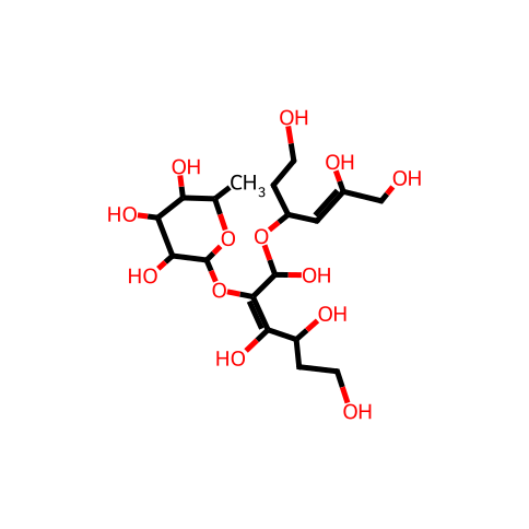 CC1OC(O/C(=C(\O)C(O)CCO)C(O)OC(/C=C(\O)CO)CCO)C(O)C(O)C1O